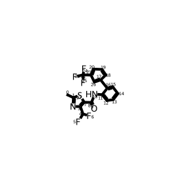 Cc1nc(C(F)F)c(C(=O)Nc2ccccc2-c2cccc(C(F)(F)F)c2)s1